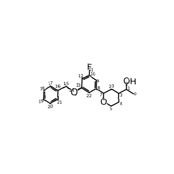 CC(O)C1CCOC(c2cc(F)cc(OCc3ccccc3)c2)C1